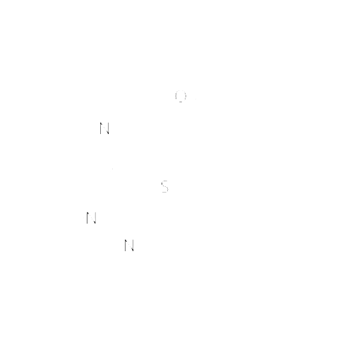 CC(=O)N=C1[N]N=C(C2CC2)S1